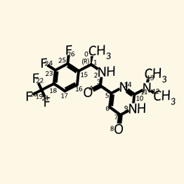 C[C@@H](NC(=O)c1cc(=O)[nH]c(N(C)C)n1)c1ccc(C(F)(F)F)c(F)c1F